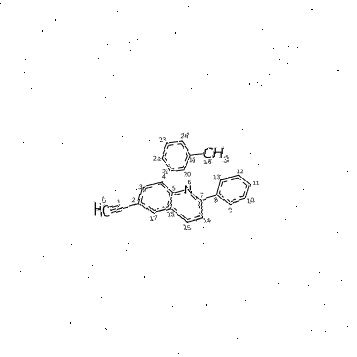 C#Cc1ccc2nc(-c3ccccc3)ccc2c1.Cc1ccccc1